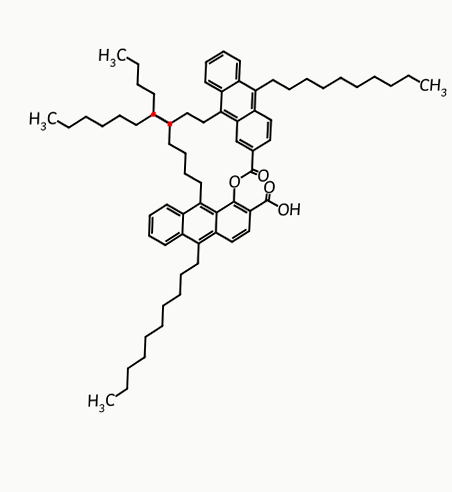 CCCCCCCCCCc1c2ccccc2c(CCCCCCCCCC)c2cc(C(=O)Oc3c(C(=O)O)ccc4c(CCCCCCCCCC)c5ccccc5c(CCCCCCCCCC)c34)ccc12